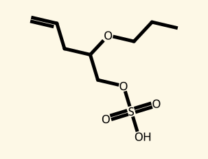 C=CCC(COS(=O)(=O)O)OCCC